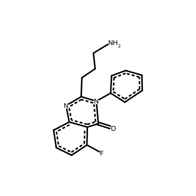 NCCCc1nc2cccc(F)c2c(=O)n1-c1ccccc1